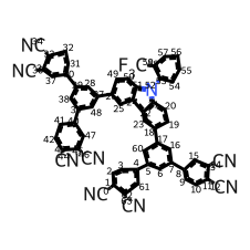 N#Cc1ccc(-c2cc(-c3ccc(C#N)c(C#N)c3)cc(-c3ccc4c(c3)c3cc(-c5cc(-c6ccc(C#N)c(C#N)c6)cc(-c6ccc(C#N)c(C#N)c6)c5)ccc3n4-c3ccccc3C(F)(F)F)c2)cc1C#N